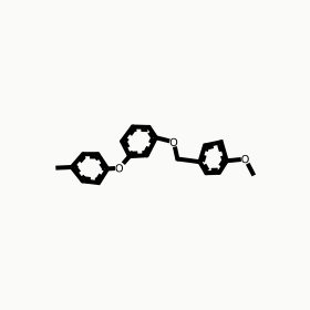 COc1ccc(COc2cccc(Oc3ccc(C)cc3)c2)cc1